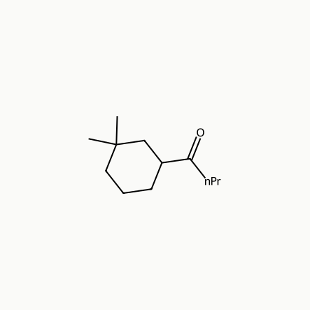 CCCC(=O)C1CCCC(C)(C)C1